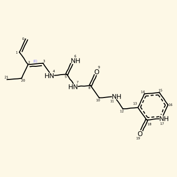 C=C/C(=C/NC(=N)NC(=O)CNCc1ccc[nH]c1=O)CC